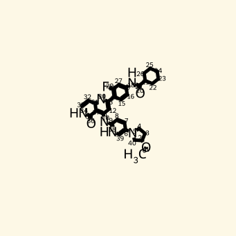 COC1CCN(c2ccc(Nc3cc(-c4ccc(NC(=O)C5CCCCC5)cc4F)nc4cc[nH]c(=O)c34)nc2)C1